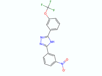 O=[N+]([O-])c1cccc(-c2nnc(-c3cccc(OC(F)(F)F)c3)[nH]2)c1